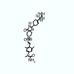 [2H]C([2H])([2H])C([2H])([2H])C1=CCC(C2=NC3(CCN(S(=O)(=O)/C=C/c4c(C)cc(N(C)C(N)=O)cc4C)CC3)C(=O)N2)CC1